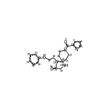 O=C(c1cccs1)N1CCC2(CC1)NCC(=O)N2CCOc1ccccc1